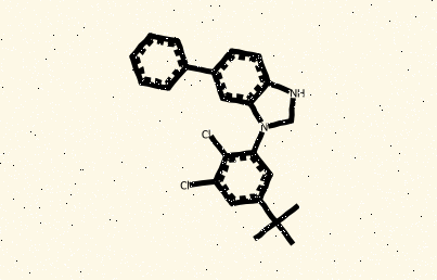 CC(C)(C)c1cc(Cl)c(Cl)c(N2CNc3ccc(-c4ccccc4)cc32)c1